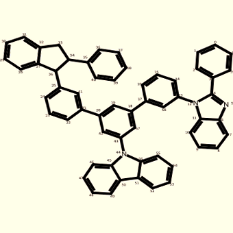 c1ccc(-c2nc3ccccc3n2-c2cccc(-c3cc(-c4cccc(C5c6ccccc6CC5c5ccccc5)c4)cc(-n4c5ccccc5c5ccccc54)c3)c2)cc1